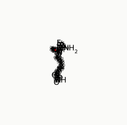 CCc1c(F)ccc2cc(N)cc(-c3ncc4c(N5CC6CCC(C5)N6)nc(OCC5(CN6CCC7(CC6)CC(CN6CCN(c8ccc9c(c8)CN(C8CCC(=O)NC8=O)C9=O)CC6)C7)CC5)nc4c3F)c12